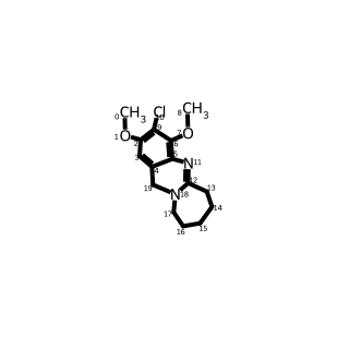 COc1cc2c(c(OC)c1Cl)N=C1CCCCCN1C2